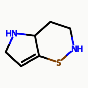 C1=C2SNCCC2NC1